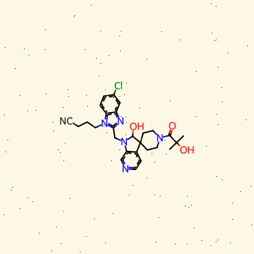 CC(C)(O)C(=O)N1CCC2(CC1)c1ccncc1N(Cc1nc3cc(Cl)ccc3n1CCCC#N)C2O